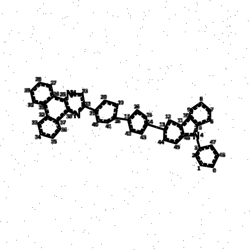 c1ccc(-n2c3ccccc3c3cc(-c4ccc(-c5ccc(-c6cnc7c8ccccc8c8ccccc8c7n6)cc5)cc4)ccc32)cc1